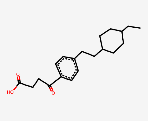 CCC1CCC(CCc2ccc(C(=O)CCC(=O)O)cc2)CC1